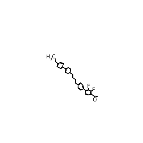 CCCc1ccc(C2=CCC(/C=C/CCc3ccc(-c4ccc(C5CO5)c(F)c4F)cc3)CC2)cc1